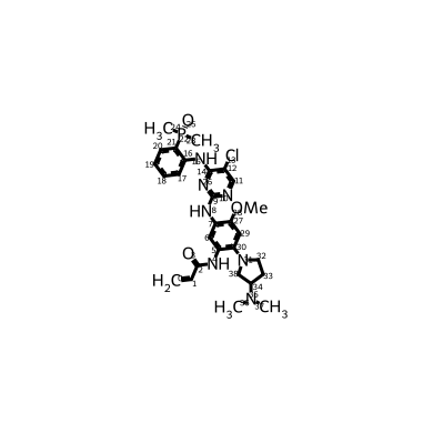 C=CC(=O)Nc1cc(Nc2ncc(Cl)c(Nc3ccccc3P(C)(C)=O)n2)c(OC)cc1N1CCC(N(C)C)C1